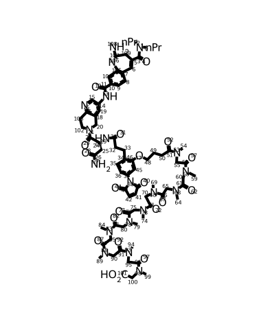 CCCN(CCC)C(=O)C1=Cc2ccc(C(=O)Nc3cnc4c(c3)CN(C(=O)[C@H](CC(N)=O)NC(=O)CCc3ccc(N5C(=O)C=CC5=O)cc3OCCCC(=O)N(C)CC(=O)N(C)CC(=O)N(C)CC(=O)N(C)CC(=O)N(C)CC(=O)N(C)CC(=O)N(C)CC(=O)N(C)CC(=O)N(C)CC(=O)N(C)CC(=O)O)CC4)cc2N=C(N)C1